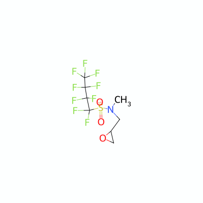 CN(CC1CO1)S(=O)(=O)C(F)(F)C(F)(F)C(F)(F)C(F)(F)F